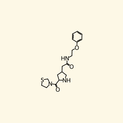 O=C(CC1CNC(C(=O)N2CCSC2)C1)NCCOc1ccccc1